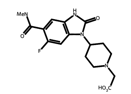 CNC(=O)c1cc2[nH]c(=O)n(C3CCN(CC(=O)O)CC3)c2cc1F